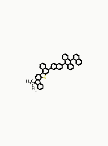 CC1(C)c2ccccc2-c2c1ccc1c2sc2cc(-c3ccc4cc(-c5c6ccccc6c(-c6cccc7ccccc67)c6ccccc56)ccc4c3)c3ccccc3c21